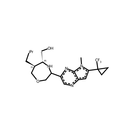 CC(C)C[C@@H]1COCC(c2cnc3cc(C4(C(F)(F)F)CC4)n(C)c3n2)N[C@H]1CO